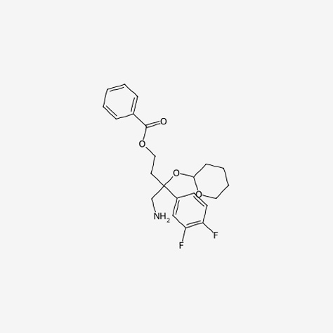 NCC(CCOC(=O)c1ccccc1)(OC1CCCCO1)c1ccc(F)c(F)c1